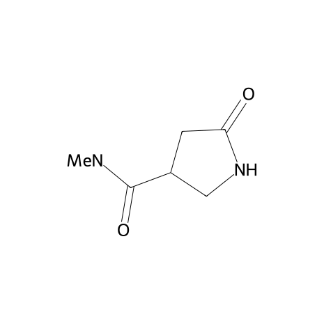 CNC(=O)C1CNC(=O)C1